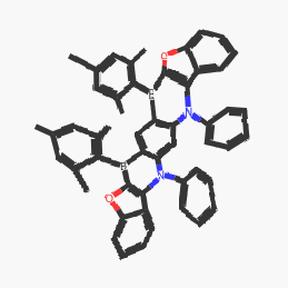 Cc1cc(C)c(B2c3cc4c(cc3N(c3ccccc3)c3c2oc2ccccc32)N(c2ccccc2)c2c(oc3ccccc23)B4c2c(C)cc(C)cc2C)c(C)c1